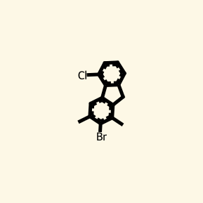 Cc1cc2c(c(C)c1Br)Cc1cccc(Cl)c1-2